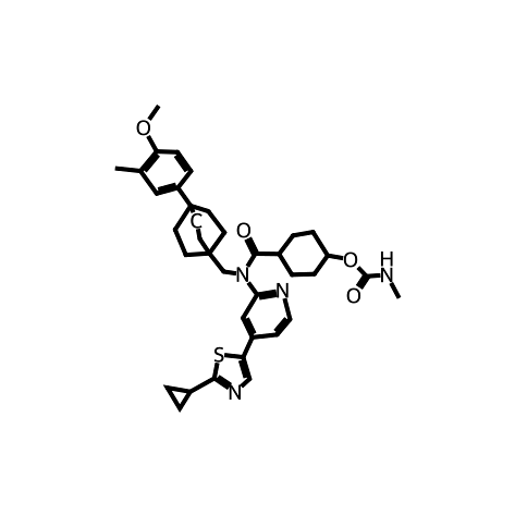 CNC(=O)OC1CCC(C(=O)N(CC23CCC(c4ccc(OC)c(C)c4)(CC2)CC3)c2cc(-c3cnc(C4CC4)s3)ccn2)CC1